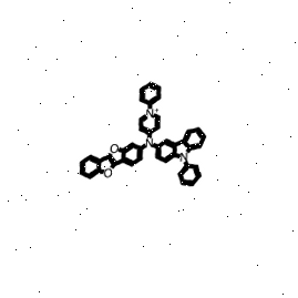 c1ccc(-n2c3ccccc3c3cc(N(c4cc[n+](-c5ccccc5)cc4)c4ccc5c(c4)oc4c6ccccc6oc54)ccc32)cc1